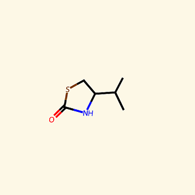 CC(C)C1CSC(=O)N1